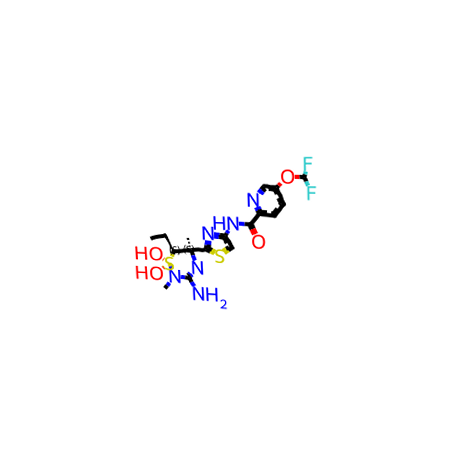 CC[C@H]1[C@@](C)(c2nc(NC(=O)c3ccc(OC(F)F)cn3)cs2)N=C(N)N(C)S1(O)O